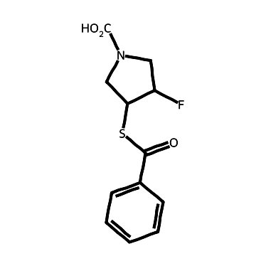 O=C(SC1CN(C(=O)O)CC1F)c1ccccc1